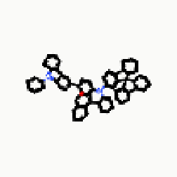 c1ccc(-n2c3ccccc3c3cc(-c4ccc(N(c5ccc6c(c5)C5(c7ccccc7-c7ccccc75)c5ccccc5-6)c5ccccc5-c5cccc6ccccc56)cc4)ccc32)cc1